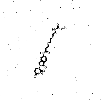 CC(C)(C)OC(=O)NCCOCCOCCC(=O)Nc1ccc2c(c1)CN(C1CCC(=O)NC1=O)C2=O